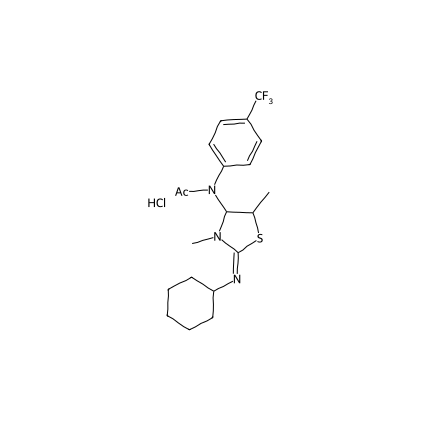 CC(=O)N(c1ccc(C(F)(F)F)cc1)C1C(C)SC(=NC2CCCCC2)N1C.Cl